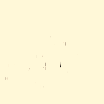 CC[C@H](NC(=O)OC(C)(C)C)C(=O)[C@@H]1C(=O)N(OCc2ccccc2)C(=O)[C@H]1C